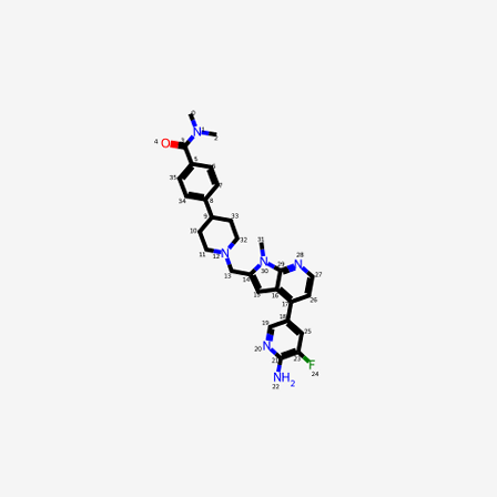 CN(C)C(=O)c1ccc(C2CCN(Cc3cc4c(-c5cnc(N)c(F)c5)ccnc4n3C)CC2)cc1